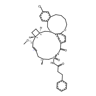 CO[C@H]1/C=C/C[C@H](C)CS(=O)(NC(=O)CCc2ccccc2)=NC(=O)c2ccc3c(c2)N(Cc2ccc(Cl)cc2CCCCO3)C[C@@H]2CC[C@H]21